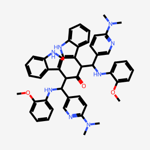 COc1ccccc1NC(c1ccc(N(C)C)nc1)C(C(=O)C(c1c[nH]c2ccccc12)C(Nc1ccccc1OC)c1ccc(N(C)C)nc1)c1c[nH]c2ccccc12